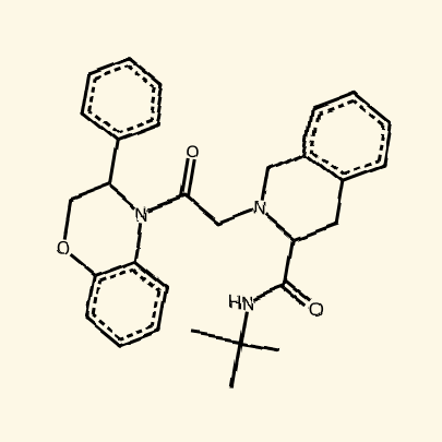 CC(C)(C)NC(=O)C1Cc2ccccc2CN1CC(=O)N1c2ccccc2OCC1c1ccccc1